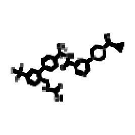 C[C@@H](NC(=O)c1cncc(N2CCN(C(=O)C3CC3)CC2)n1)c1ccc(-c2cc(C(F)(F)F)ccc2CNC(=O)O)cc1